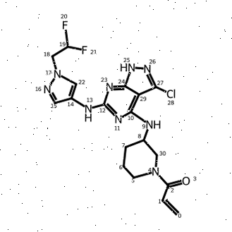 C=CC(=O)N1CCCC(Nc2nc(Nc3cnn(CC(F)F)c3)nc3[nH]nc(Cl)c23)C1